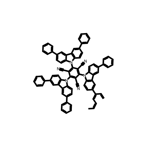 C=C/C(=C\C=C/C)c1ccc2c(c1)c1cc(-c3ccccc3)ccc1n2-c1c(C#N)c(-n2c3ccc(-c4ccccc4)cc3c3cc(-c4ccccc4)ccc32)c(C#N)c(-n2c3ccc(-c4ccccc4)cc3c3cc(-c4ccccc4)ccc32)c1C#N